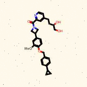 COc1cc(C2CN(C(=O)c3cc(CCC(O)CO)ccn3)C2)ccc1OCc1ccc(C2CC2)cc1